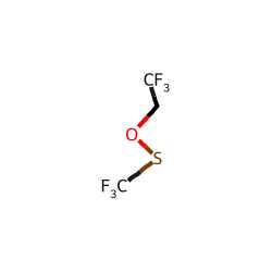 FC(F)(F)COSC(F)(F)F